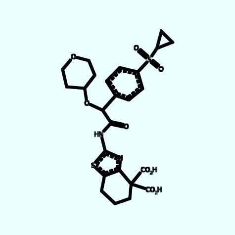 O=C(Nc1nc2c(s1)CCCC2(C(=O)O)C(=O)O)C(OC1CCOCC1)c1ccc(S(=O)(=O)C2CC2)cc1